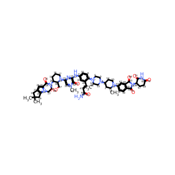 C[C@@H]1CC(N2CCN(c3ccc(Nc4nc(N5CCCC(N6CCn7c(cc8c7CC(C)(C)C8)C6=O)C5CO)cn(C)c4=O)cc3C=CC(N)=O)[C@@H](C)C2)CCN1c1ccc2c(c1)C(=O)N(C1CCC(=O)NC1=O)C2=O